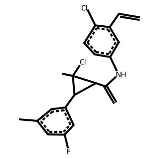 C=Cc1cc(NC(=C)C2C(c3cc(C)cc(F)c3)C2(C)Cl)ccc1Cl